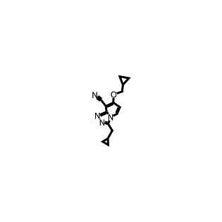 N#Cc1c(OCC2CC2)ccn2c(CC3CC3)nnc12